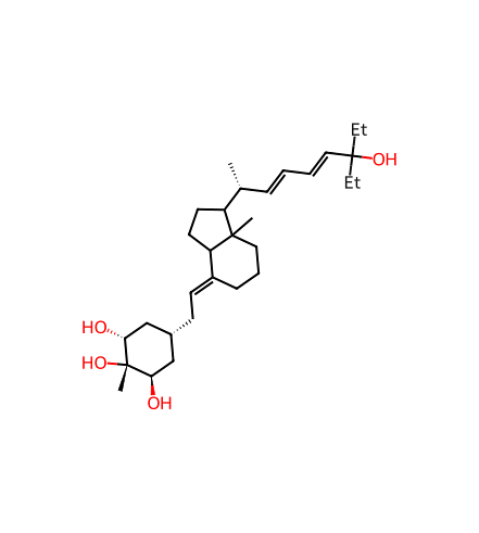 CCC(O)(/C=C/C=C/[C@@H](C)C1CCC2/C(=C/C[C@H]3C[C@@H](O)[C@@](C)(O)[C@H](O)C3)CCCC21C)CC